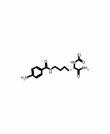 CCC(=O)N[C@@H](CCCCNC(=O)c1ccc(N)cc1)C(N)=O